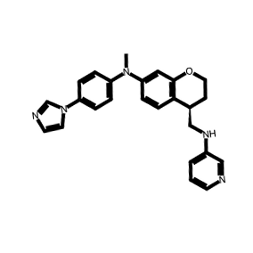 CN(c1ccc(-n2ccnc2)cc1)c1ccc2c(c1)OCC[C@H]2CNc1cccnc1